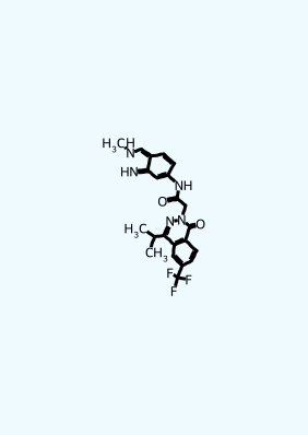 CN/C=C1/C=CC(NC(=O)Cn2nc(C(C)C)c3cc(C(F)(F)F)ccc3c2=O)=CC1=N